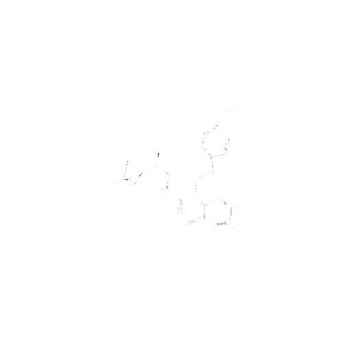 O=C(N[C@H](C(=O)O)C12CC(C(F)(F)F)(C1)C2)c1ccc2cc(F)ccc2c1OCc1ccc(OC(F)(F)F)cc1